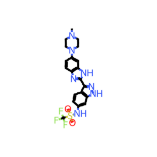 CN1CCN(c2ccc3nc(-c4n[nH]c5cc(NS(=O)(=O)C(F)(F)F)ccc45)[nH]c3c2)CC1